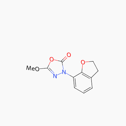 COc1nn(-c2cccc3c2OCC3)c(=O)o1